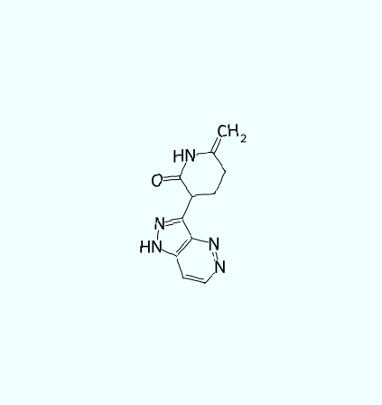 C=C1CCC(c2n[nH]c3ccnnc23)C(=O)N1